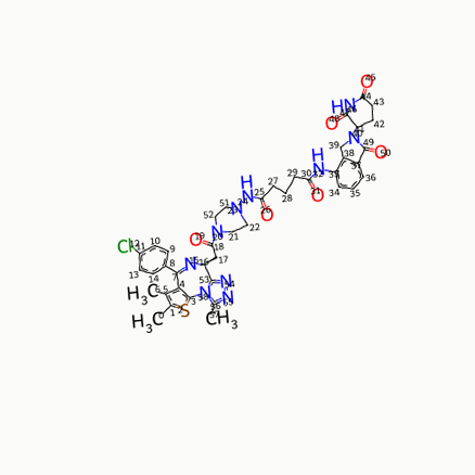 Cc1sc2c(c1C)C(c1ccc(Cl)cc1)=N[C@@H](CC(=O)N1CCN(NC(=O)CCCC(=O)Nc3cccc4c3CN(C3CCC(=O)NC3=O)C4=O)CC1)c1nnc(C)n1-2